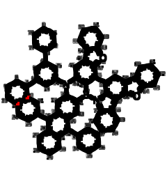 c1ccc(-c2cc(-c3ccccc3)cc(N3c4cc5c(-c6ccccc6)c6ccccc6c(-c6ccccc6)c5cc4B4c5c3cc3c(oc6ccccc63)c5-c3cc5c6ccccc6oc5c5c6ccccc6n4c35)c2)cc1